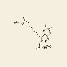 CCCOC(=O)CCCCCCn1c2nc(=O)[nH]c(=O)c-2nc2cc(C)c(C)cc21